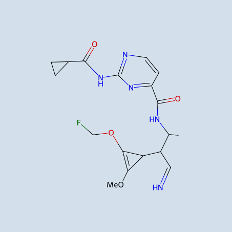 COC1=C(OCF)C1C(C=N)C(C)NC(=O)c1ccnc(NC(=O)C2CC2)n1